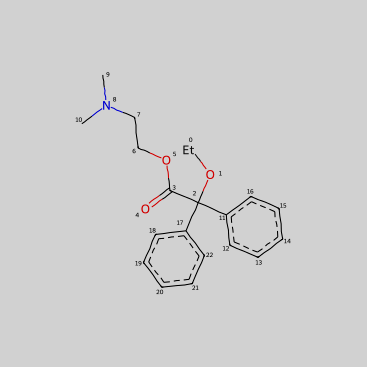 CCOC(C(=O)OCCN(C)C)(c1ccccc1)c1ccccc1